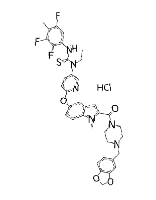 CCN(C(=S)Nc1cc(F)c(C)c(F)c1F)c1ccc(Oc2ccc3c(c2)cc(C(=O)N2CCN(Cc4ccc5c(c4)OCO5)CC2)n3C)nc1.Cl